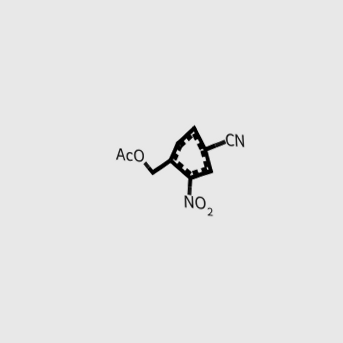 CC(=O)OCc1ccc(C#N)cc1[N+](=O)[O-]